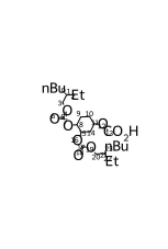 CCCCC(CC)COC(=O)OC1CCC(OC(=O)O)CC1OC(=O)OCC(CC)CCCC